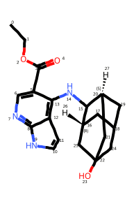 CCOC(=O)c1cnc2[nH]ccc2c1NC1[C@@H]2CC3C[C@H]1CC(O)(C3)C2